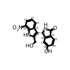 O=C1N[C@@H](c2c(CO)[nH]c3c([N+](=O)[O-])cccc23)c2cc(O)ccc21